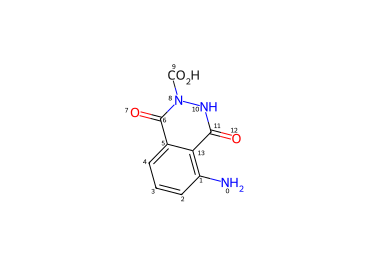 Nc1cccc2c(=O)n(C(=O)O)[nH]c(=O)c12